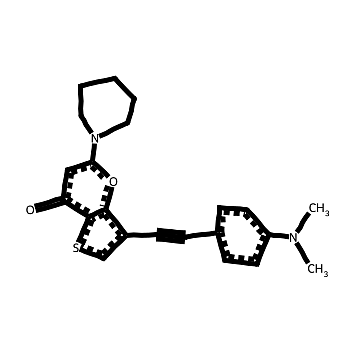 CN(C)c1ccc(C#Cc2csc3c(=O)cc(N4CCCCC4)oc23)cc1